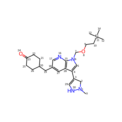 CN1CC(c2cn(COCC[Si](C)(C)C)c3ncc(CC4CCC(=O)CC4)cc23)=CN1